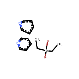 C[CH2][Sn]([Br])([Br])[CH2]C.c1ccncc1.c1ccncc1